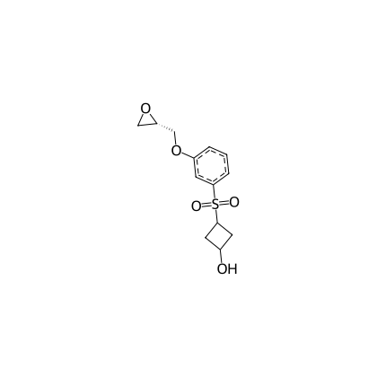 O=S(=O)(c1cccc(OC[C@@H]2CO2)c1)C1CC(O)C1